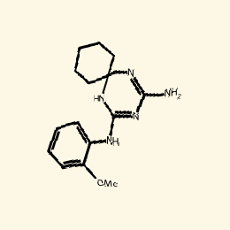 COc1ccccc1NC1=NC(N)=NC2(CCCCC2)N1